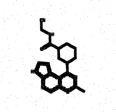 Cc1nc(N2CCCC(C(=O)NCC#N)C2)c2c(cnc3[nH]ccc32)n1